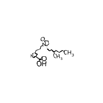 CCCC/C(C)=C/C=C\[C@H]1CCC(=O)N1CCCc1cncc(C(=O)O)c1